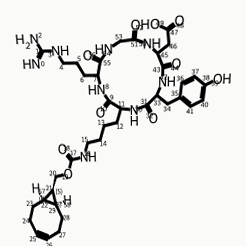 N=C(N)NCCCC1NC(=O)C(CCCCNC(=O)OC[C@@H]2[C@@H]3CCC#CCC[C@@H]32)NC(=O)C(Cc2ccc(O)cc2)NC(=O)C(CC(=O)O)NC(=O)CNC1=O